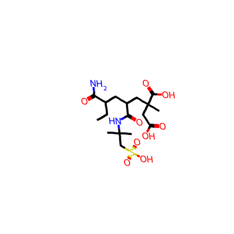 CCC(CC(CC(C)(CC(=O)O)C(=O)O)C(=O)NC(C)(C)CS(=O)(=O)O)C(N)=O